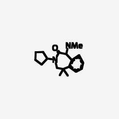 CNC1C(=O)N(C2CCCC2)CC(C)(C)c2ccccc21